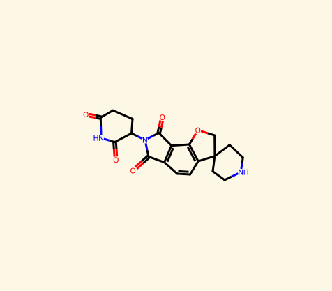 O=C1CCC(N2C(=O)c3ccc4c(c3C2=O)OCC42CCNCC2)C(=O)N1